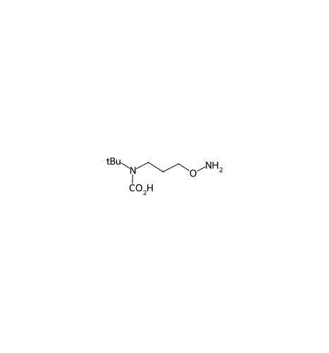 CC(C)(C)N(CCCON)C(=O)O